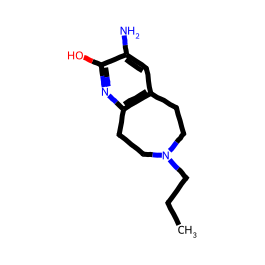 CCCN1CCc2cc(N)c(O)nc2CC1